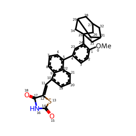 COc1ccc(-c2cccc3c(C=C4SC(=O)NC4=O)cccc23)cc1C12CC3CC(CC(C3)C1)C2